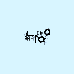 CCC(NCc1[nH]cnc1C)c1ccc(F)c(Oc2ccccc2)c1F